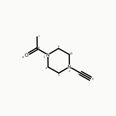 C#CN1CCN(C(C)=O)CC1